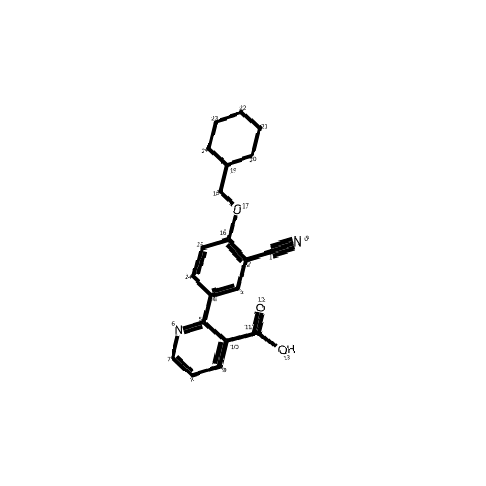 N#Cc1cc(-c2ncccc2C(=O)O)ccc1OCC1CCCCC1